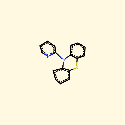 c1ccc(N2c3ccccc3Sc3ccccc32)nc1